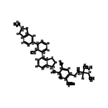 COc1nc(O[C@H]2CCc3c(-c4cccc(-c5ccc6c(c5)C[C@@H](N)C6)c4Cl)cccc32)c(Br)cc1CNC(C)(CO)C(=O)O